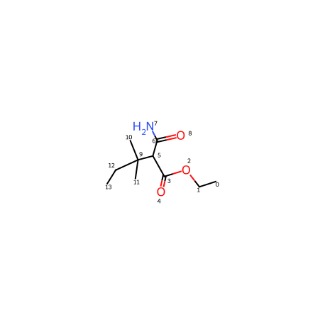 CCOC(=O)C(C(N)=O)C(C)(C)CC